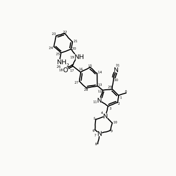 Cc1cc(N2CCN(C)CC2)nc(-c2ccc(C(=O)Nc3ccccc3N)cc2)c1C#N